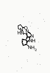 Nc1cccc2c1[nH]c1ncnc(NN3CCCC3=O)c12